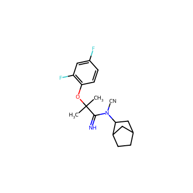 CC(C)(Oc1ccc(F)cc1F)C(=N)N(C#N)C1CC2CCC1C2